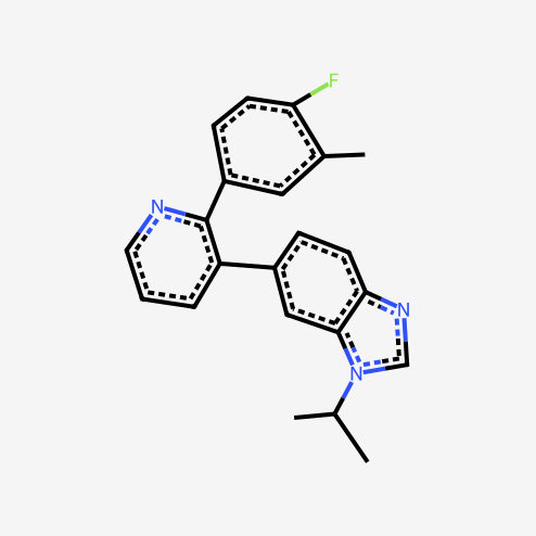 Cc1cc(-c2ncccc2-c2ccc3ncn(C(C)C)c3c2)ccc1F